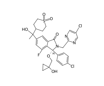 CC(O)(c1cc(F)c2c(c1)C(=O)N(Cc1ncc(Cl)cn1)[C@@]2(OCC1(O)CC1)c1ccc(Cl)cc1)C1CCS(=O)(=O)CC1